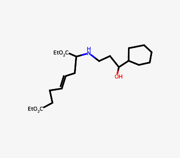 CCOC(=O)CC/C=C/CC(NCCC(O)C1CCCCC1)C(=O)OCC